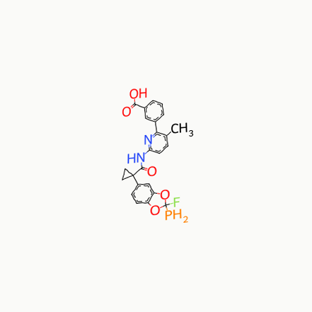 Cc1ccc(NC(=O)C2(c3ccc4c(c3)OC(F)(P)O4)CC2)nc1-c1cccc(C(=O)O)c1